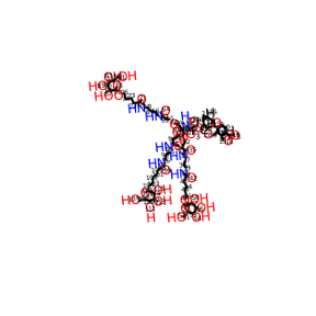 CC(C)[C@]12C[C@H]1[C@@H]1O[C@@]13[C@@]1(C)CCC4=C(COC4=O)C1CO[C@]3(C)[C@@H]2OC(=O)C(=O)NC(COCCC(=O)NCCCNC(=O)CCCCO[C@@H]1O[C@H](CO)[C@@H](O)[C@H](O)[C@H]1O)(COCCC(=O)NCCCNC(=O)CCCCO[C@@H]1O[C@H](CO)[C@@H](O)[C@H](O)[C@H]1O)OCCC(=O)NCCCNC(=O)CCCCC[C@@H]1O[C@H](CO)[C@@H](O)[C@H](O)[C@H]1O